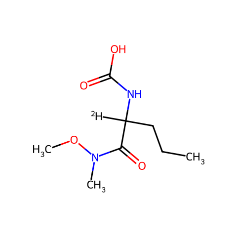 [2H]C(CCC)(NC(=O)O)C(=O)N(C)OC